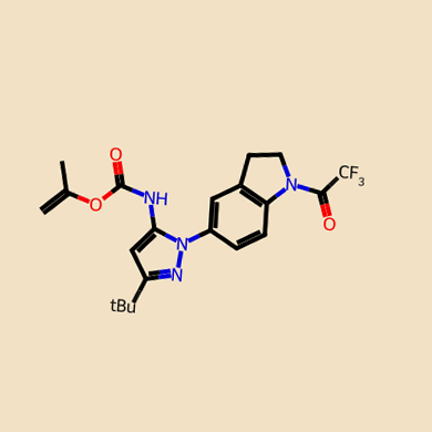 C=C(C)OC(=O)Nc1cc(C(C)(C)C)nn1-c1ccc2c(c1)CCN2C(=O)C(F)(F)F